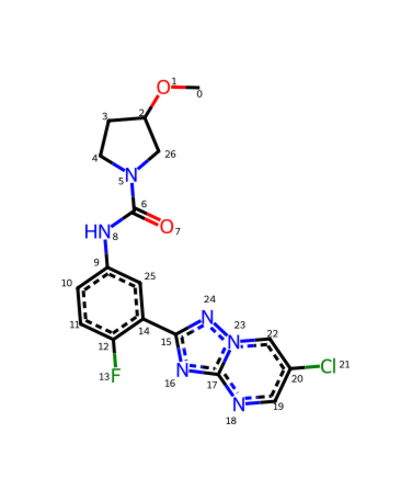 COC1CCN(C(=O)Nc2ccc(F)c(-c3nc4ncc(Cl)cn4n3)c2)C1